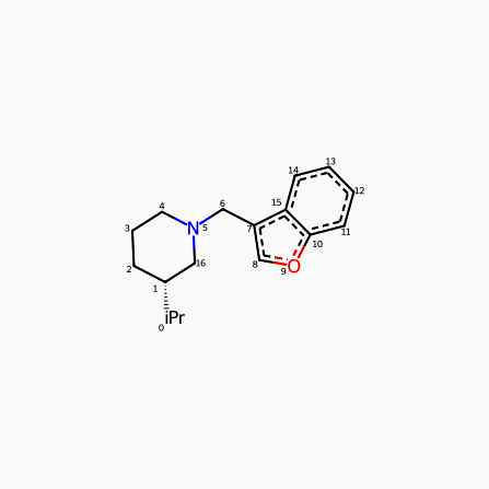 CC(C)[C@@H]1CCCN(Cc2coc3ccccc23)C1